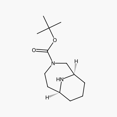 CC(C)(C)OC(=O)N1CC[C@@H]2CCC[C@H](C1)N2